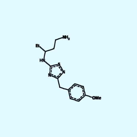 CCC(CCN)Nc1nc(Cc2ccc(OC)cc2)ns1